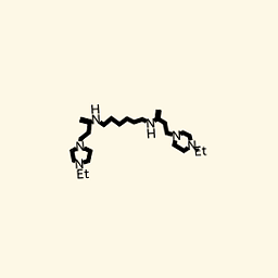 C=C(CCN1CCN(CC)CC1)NCCCCCCNC(=C)CCN1CCN(CC)CC1